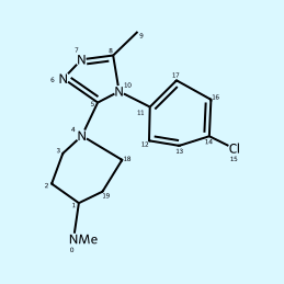 CNC1CCN(c2nnc(C)n2-c2ccc(Cl)cc2)CC1